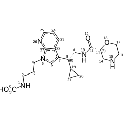 O=C(O)NCCCn1cc([C@H](CNC(=O)[C@H]2CNCCO2)C2CC2)c2cccnc21